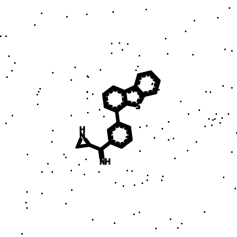 N=C(c1cccc(-c2cccc3c2sc2ccccc23)c1)C1CN1